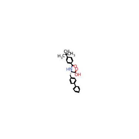 CC(C)(C)c1ccc(C(=O)N[C@@H](Cc2ccc(-c3ccccc3)cc2)C(=O)O)cc1